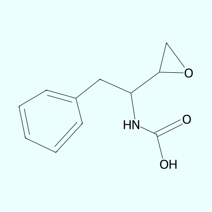 O=C(O)NC(Cc1ccccc1)C1CO1